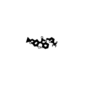 O=C1C(c2cc3c(cc2O)OC2(CC2)C3)c2ccccc2N1Cc1ccc(C(F)(F)F)o1